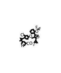 CC1(c2cncc(C(=O)O)c2)CC1c1ccc(OCc2c(-c3ccccc3OC(F)F)noc2C2CC2)cc1Cl